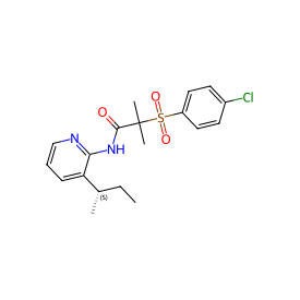 CC[C@H](C)c1cccnc1NC(=O)C(C)(C)S(=O)(=O)c1ccc(Cl)cc1